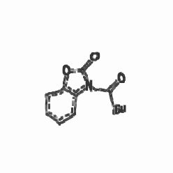 CCC(C)C(=O)n1c(=O)oc2ccccc21